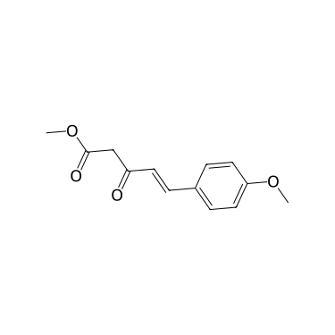 COC(=O)CC(=O)C=Cc1ccc(OC)cc1